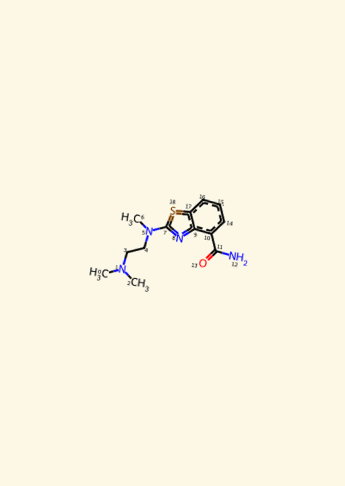 CN(C)CCN(C)c1nc2c(C(N)=O)c[c]cc2s1